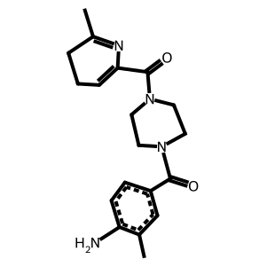 CC1=NC(C(=O)N2CCN(C(=O)c3ccc(N)c(C)c3)CC2)=CCC1